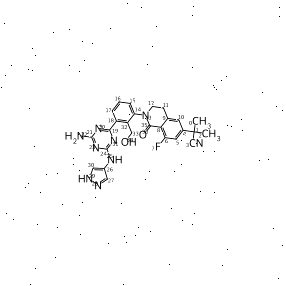 CC(C)(C#N)c1cc(F)c2c(c1)CCN(c1cccc(-c3nc(N)nc(Nc4cn[nH]c4)n3)c1CO)C2=O